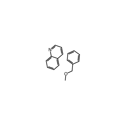 COCc1ccccc1.c1ccc2ncccc2c1